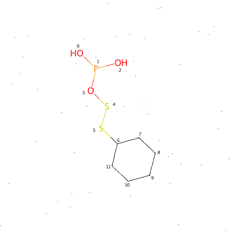 OP(O)OSSC1CCCCC1